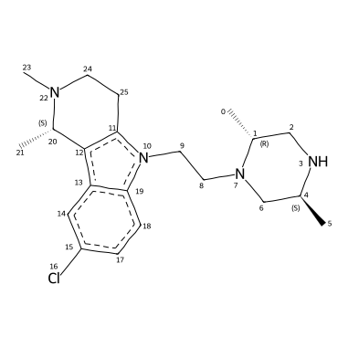 C[C@@H]1CN[C@@H](C)CN1CCn1c2c(c3cc(Cl)ccc31)[C@H](C)N(C)CC2